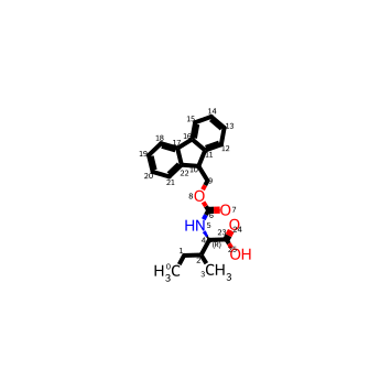 CCC(C)[C@@H](NC(=O)OCC1c2ccccc2-c2ccccc21)C(=O)O